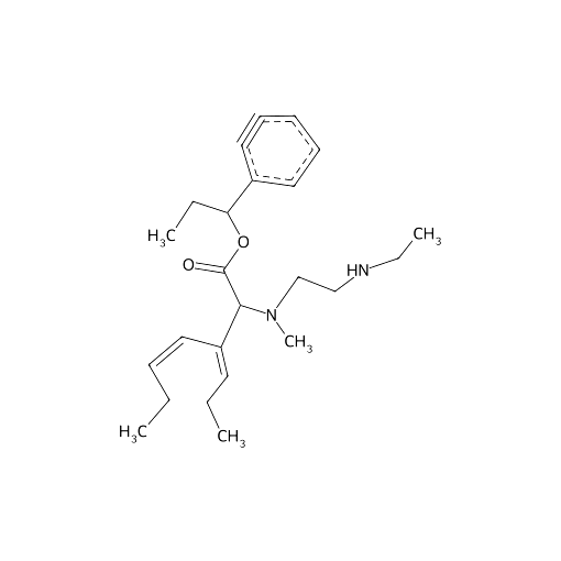 CC/C=C\C(=C/CC)C(C(=O)OC(CC)c1c#cccc1)N(C)CCNCC